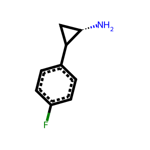 N[C@H]1CC1c1ccc(F)cc1